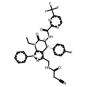 CCN1C(=O)[C@@H](NC(=O)c2nccc(C(F)(F)F)n2)[C@H](c2ccc(F)cc2)c2c(CNC(=O)CC#N)nn(-c3ccccc3)c21